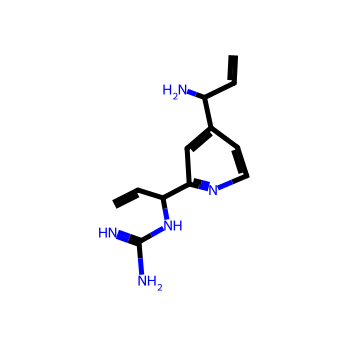 C=CC(N)c1ccnc(C(C=C)NC(=N)N)c1